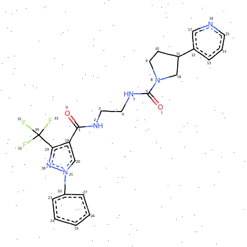 O=C(NCCNC(=O)N1CCC(c2cccnc2)C1)c1cn(-c2ccccc2)nc1C(F)(F)F